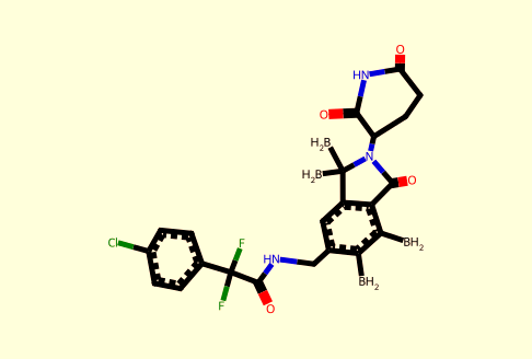 Bc1c(CNC(=O)C(F)(F)c2ccc(Cl)cc2)cc2c(c1B)C(=O)N(C1CCC(=O)NC1=O)C2(B)B